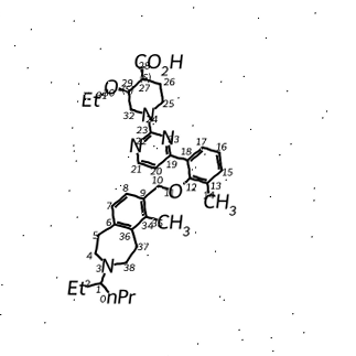 CCCC(CC)N1CCc2ccc(COc3c(C)cccc3-c3ccnc(N4CC[C@H](C(=O)O)[C@H](OCC)C4)n3)c(C)c2CC1